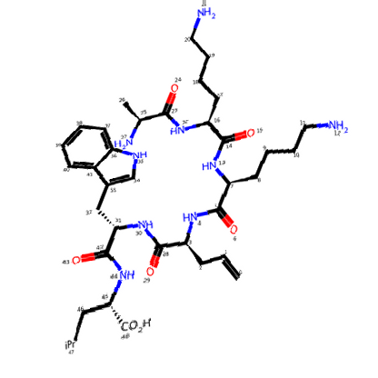 C=CC[C@H](NC(=O)[C@H](CCCCN)NC(=O)[C@H](CCCCN)NC(=O)[C@H](C)N)C(=O)N[C@@H](Cc1c[nH]c2ccccc12)C(=O)N[C@@H](CC(C)C)C(=O)O